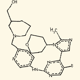 Cc1ncc(-c2nc(Nc3ccc(CN4CCCC(CO)C4)nc3)ncc2F)n1C1CCOCC1